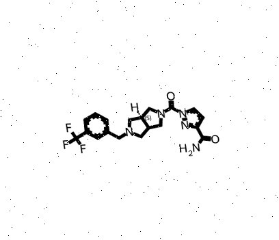 NC(=O)c1ccn(C(=O)N2CC3CN(Cc4cccc(C(F)(F)F)c4)C[C@H]3C2)n1